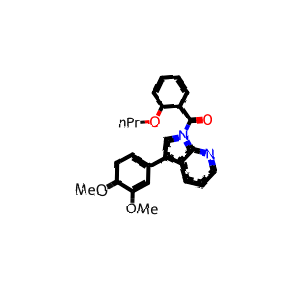 CCCOC1C=CC=CC1C(=O)n1cc(C2=CCC(OC)C(OC)=C2)c2cccnc21